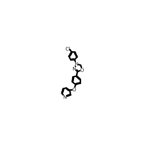 Clc1ccc(N2COC(c3ccc(Oc4cccnc4)cc3)=N2)cc1